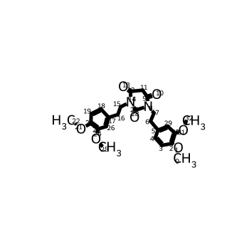 COc1ccc(CCN2C(=O)CC(=O)N(CCc3ccc(OC)c(OC)c3)C2=O)cc1OC